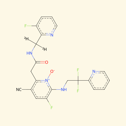 [2H]C([2H])(NC(=O)Cc1c(C#N)cc(F)c(NCC(F)(F)c2ccccn2)[n+]1[O-])c1ncccc1F